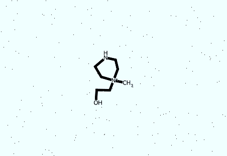 C[N+]1(CCO)CCNCC1